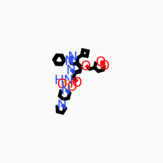 O=C(NS(=O)(=O)N1CCC(N2CCCC2)CC1)c1cc(OCC2CCOOC2)c2c(C3CCC3)nn(-c3ccccc3)c2n1